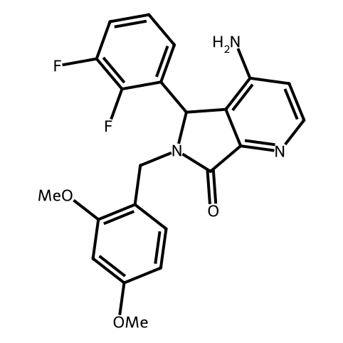 COc1ccc(CN2C(=O)c3nccc(N)c3C2c2cccc(F)c2F)c(OC)c1